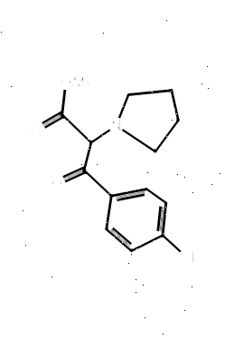 COC(=O)C(C(=O)c1ccc(Cl)cc1)N1CCCC1